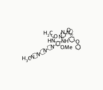 C=CC(=O)Nc1cc(Nc2cc(N3OCC[C@@H]3c3cccc(Oc4ccccc4)c3)ncn2)c(OC)cc1N1CCC(N2CCC(N3CCN(C)CC3)CC2)CC1